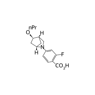 CCCO[C@@H]1C[C@@H]2C[C@H]1CN2c1ccc(C(=O)O)c(F)c1